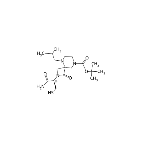 CC(C)CN1CCN(C(=O)OC(C)(C)C)CC12CN([C@@H](CS)C(N)=O)C2=O